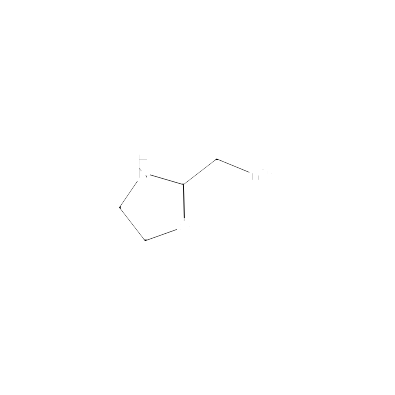 CCCCC1NCCO1